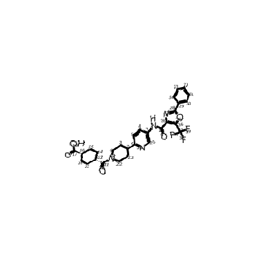 O=C(Nc1ccc(C2CCN(C(=O)[C@H]3CC[C@H](C(=O)O)CC3)CC2)nc1)c1nc(-c2ccccc2)oc1C(F)(F)F